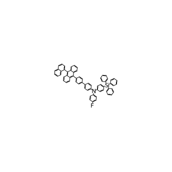 Fc1ccc(N(c2ccc(-c3ccc(-c4c5ccccc5c(-c5cccc6ccccc56)c5ccccc45)cc3)cc2)c2ccc([Si](c3ccccc3)(c3ccccc3)c3ccccc3)cc2)cc1